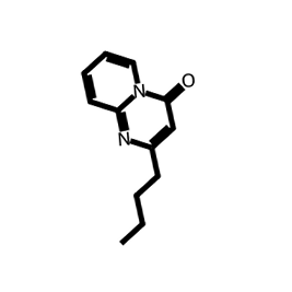 CCCCc1cc(=O)n2ccccc2n1